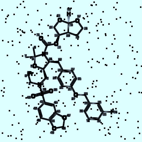 CC(C)CN(C[C@H]1OC(C)(C)N(C(=O)O[C@H]2CO[C@H]3OCCC32)[C@H]1Cc1ccc(OCc2cccc(F)c2)cc1)S(=O)(=O)c1ccc2c(c1)OCO2